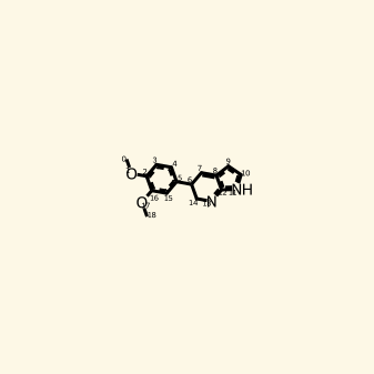 COc1ccc(C2C=c3cc[nH]c3=NC2)cc1OC